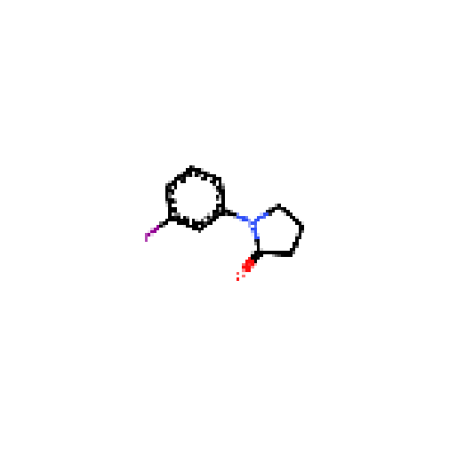 O=C1CCCN1c1cccc(I)c1